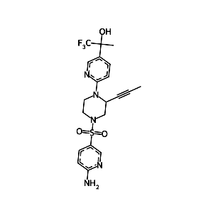 CC#CC1CN(S(=O)(=O)c2ccc(N)nc2)CCN1c1ccc(C(C)(O)C(F)(F)F)cn1